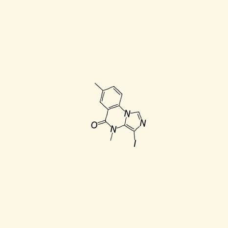 Cc1ccc2c(c1)c(=O)n(C)c1c(I)ncn21